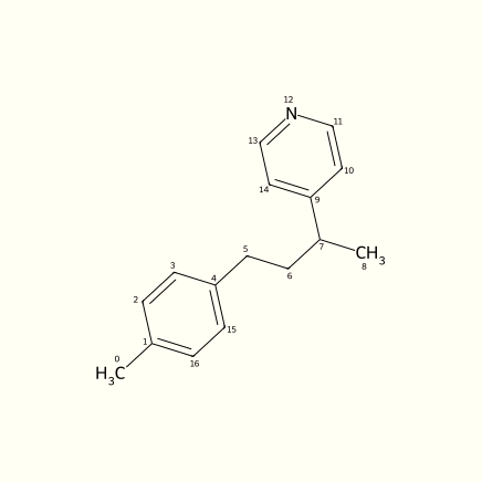 Cc1ccc(CCC(C)c2ccncc2)cc1